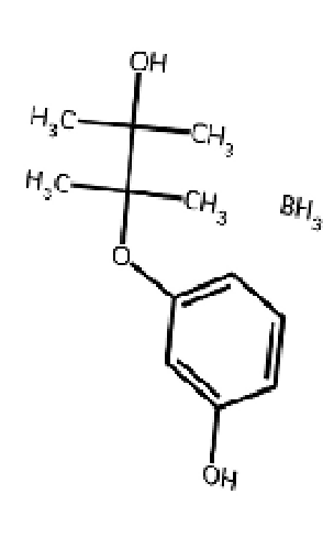 B.CC(C)(O)C(C)(C)Oc1cccc(O)c1